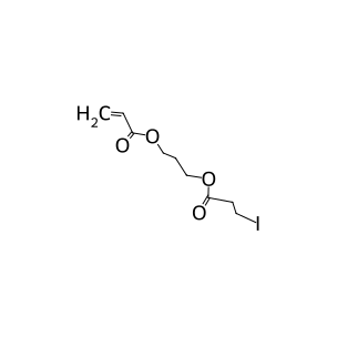 C=CC(=O)OCCCOC(=O)CCI